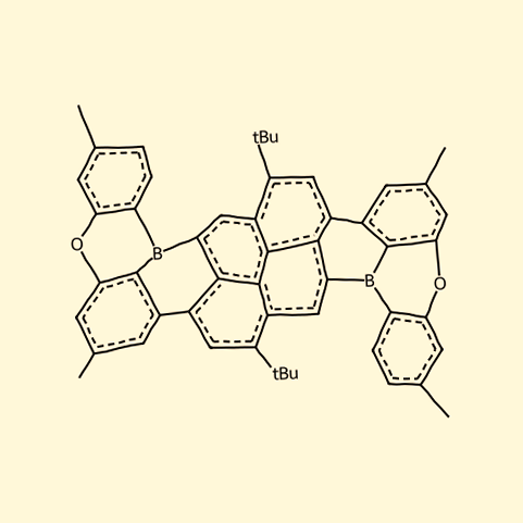 Cc1ccc2c(c1)Oc1cc(C)cc3c1B2c1cc2c(C(C)(C)C)cc4c5c(cc6c(C(C)(C)C)cc-3c1c6c25)B1c2ccc(C)cc2Oc2cc(C)cc-4c21